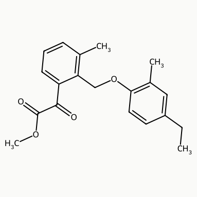 CCc1ccc(OCc2c(C)cccc2C(=O)C(=O)OC)c(C)c1